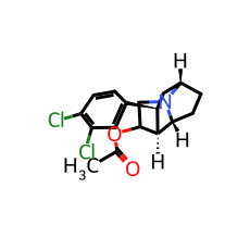 CC(=O)OC1CN2[C@H]3CC[C@@H]2[C@@H]1[C@@H](c1ccc(Cl)c(Cl)c1)C3